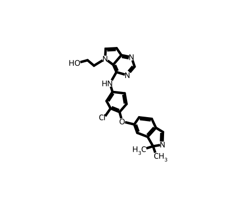 CC1(C)N=Cc2ccc(Oc3ccc(Nc4ncnc5ccn(CCO)c45)cc3Cl)cc21